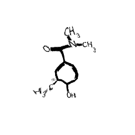 C[C@H]1C=C(C(=O)N(C)C)C=CC1O